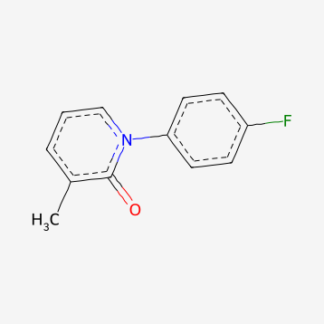 Cc1cccn(-c2ccc(F)cc2)c1=O